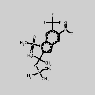 CC(C)(O[Si](C)(C)C)c1cc2cc([N+](=O)[O-])c(C(F)(F)F)cc2n1S(C)(=O)=O